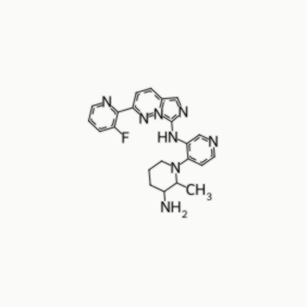 CC1C(N)CCCN1c1ccncc1Nc1ncc2ccc(-c3ncccc3F)nn12